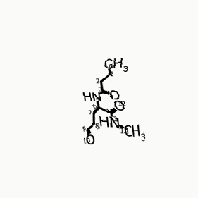 CCCC(=O)NC(CCC=O)C(=O)NC